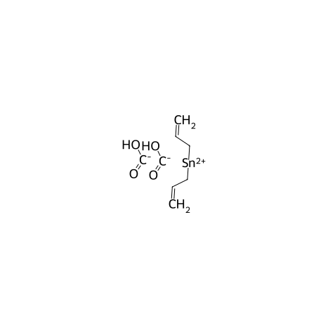 C=C[CH2][Sn+2][CH2]C=C.O=[C-]O.O=[C-]O